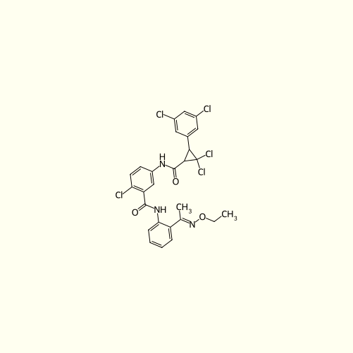 CCO/N=C(\C)c1ccccc1NC(=O)c1cc(NC(=O)C2C(c3cc(Cl)cc(Cl)c3)C2(Cl)Cl)ccc1Cl